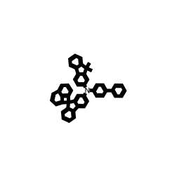 CC1(C)c2ccccc2-c2ccc(N(c3ccc(-c4ccccc4)cc3)c3ccc4c(c3)C3(c5ccccc5-4)c4cccc5cccc3c45)cc21